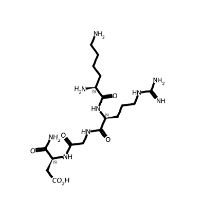 N=C(N)NCCC[C@H](NC(=O)[C@@H](N)CCCCN)C(=O)NCC(=O)N[C@@H](CC(=O)O)C(N)=O